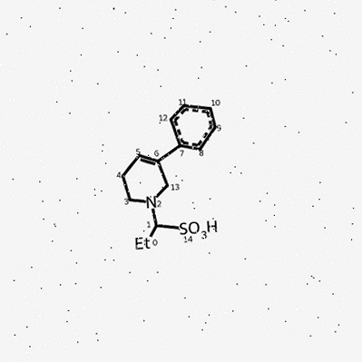 CCC(N1CCC=C(c2ccccc2)C1)S(=O)(=O)O